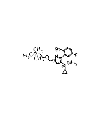 C[Si](C)(C)CCOCn1cc([C@H](N)C2CC2)c(-c2cc(F)ccc2Br)n1